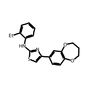 CCc1ccccc1Nc1nc(-c2ccc3c(c2)OCCCO3)cs1